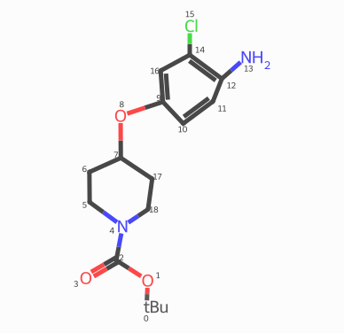 CC(C)(C)OC(=O)N1CCC(Oc2ccc(N)c(Cl)c2)CC1